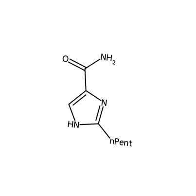 CCCCCc1nc(C(N)=O)c[nH]1